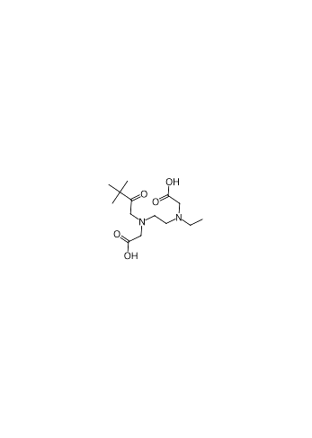 CCN(CCN(CC(=O)O)CC(=O)C(C)(C)C)CC(=O)O